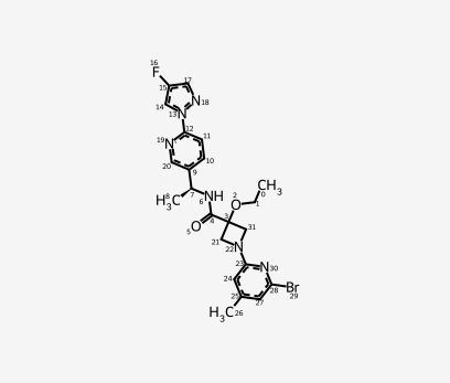 CCOC1(C(=O)N[C@@H](C)c2ccc(-n3cc(F)cn3)nc2)CN(c2cc(C)cc(Br)n2)C1